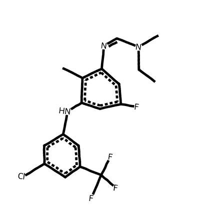 CCN(C)/C=N\c1cc(F)cc(Nc2cc(Cl)cc(C(F)(F)F)c2)c1C